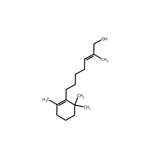 CC1=C(CCCC/C=C(\C)CO)C(C)(C)CCC1